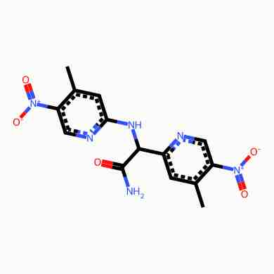 Cc1cc(NC(C(N)=O)c2cc(C)c([N+](=O)[O-])cn2)ncc1[N+](=O)[O-]